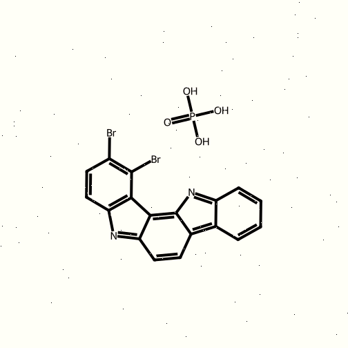 Brc1ccc2c(c1Br)-c1c3c(ccc1=N2)=c1ccccc1=N3.O=P(O)(O)O